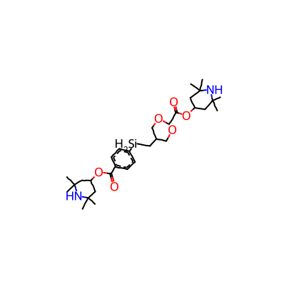 CC1(C)CC(OC(=O)c2ccc([SiH2]CC3COC(C(=O)OC4CC(C)(C)NC(C)(C)C4)OC3)cc2)CC(C)(C)N1